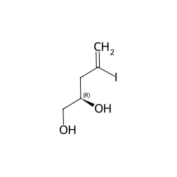 C=C(I)C[C@@H](O)CO